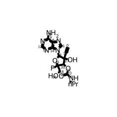 C#CC1(O)C(n2cnc3c(N)ncnc32)OC(F)(CO)C1OC(=O)NCCC